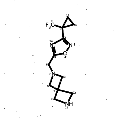 FC(F)(F)C1(c2noc(CN3CC4(CNC4)C3)n2)CC1